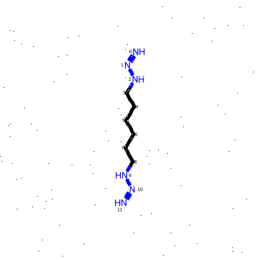 N=NNCCCCCCNN=N